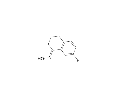 ON=C1CCCc2ccc(F)cc21